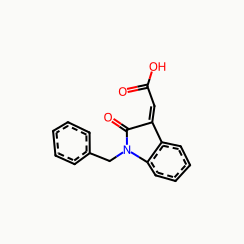 O=C(O)C=C1C(=O)N(Cc2ccccc2)c2ccccc21